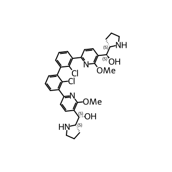 COc1nc(-c2cccc(-c3cccc(-c4ccc([C@H](O)[C@@H]5CCCN5)c(OC)n4)c3Cl)c2Cl)ccc1[C@H](O)[C@@H]1CCCN1